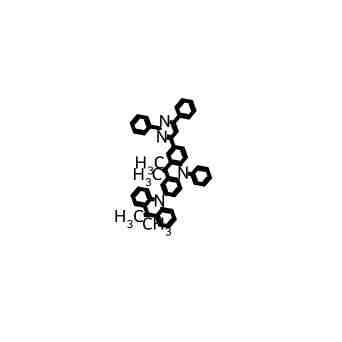 CC1(C)c2ccccc2N(c2ccc3c(c2)C(C)(C)c2cc(-c4cc(-c5ccccc5)nc(-c5ccccc5)n4)ccc2N3c2ccccc2)c2ccccc21